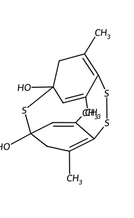 CC1=CC2(O)CC(C)=C1SSC1=C(C)CC(O)(C=C1C)S2